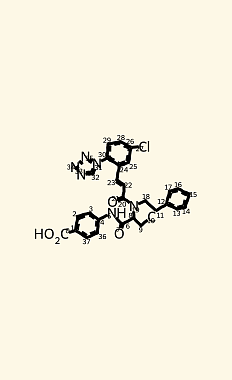 O=C(O)c1ccc(NC(=O)C2CCC(c3ccccc3)CN2C(=O)C=Cc2cc(Cl)ccc2-n2cnnn2)cc1